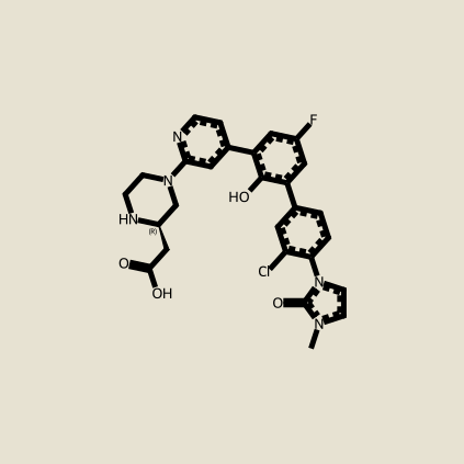 Cn1ccn(-c2ccc(-c3cc(F)cc(-c4ccnc(N5CCN[C@H](CC(=O)O)C5)c4)c3O)cc2Cl)c1=O